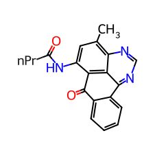 CCCC(=O)Nc1cc(C)c2ncnc3c2c1C(=O)c1ccccc1-3